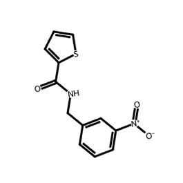 O=C(NCc1cccc([N+](=O)[O-])c1)c1cccs1